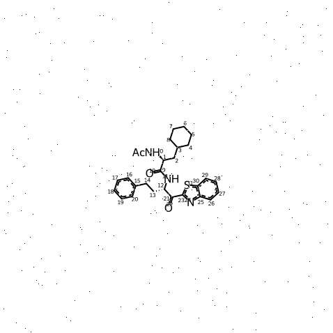 CC(=O)N[C@@H](CC1CCCCC1)C(=O)N[C@@H](CCc1ccccc1)C(=O)c1nc2ccccc2s1